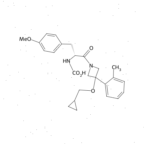 COc1ccc(C[C@@H](NC(=O)O)C(=O)N2CC(OCC3CC3)(c3ccccc3C)C2)cc1